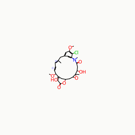 COc1cc2cc(c1Cl)N(C)C(=O)CC(O)C1(C)OC1CC1C[C@@](O)(CC(=O)O1)C(OC)/C=C/C=C(\C)C2